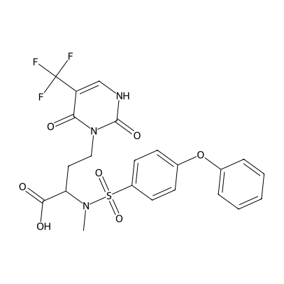 CN(C(CCn1c(=O)[nH]cc(C(F)(F)F)c1=O)C(=O)O)S(=O)(=O)c1ccc(Oc2ccccc2)cc1